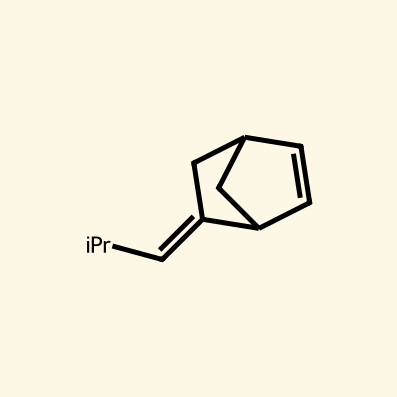 CC(C)C=C1CC2C=CC1C2